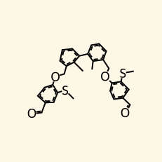 CSc1cc(C=O)ccc1OCc1cccc(-c2cccc(COc3ccc(C=O)cc3SC)c2C)c1C